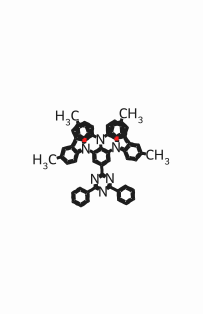 Cc1ccc2c(c1)c1cc(C)ccc1n2-c1cc(-c2nc(-c3ccccc3)nc(-c3ccccc3)n2)cc(-n2c3ccc(C)cc3c3cc(C)ccc32)c1N(c1ccccc1)c1ccccc1